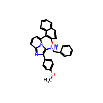 COc1ccc(-c2nc3cccc(-c4c(O)ccc5ccccc45)n3c2NCc2ccccc2)cc1